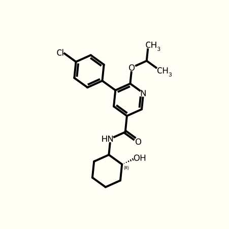 CC(C)Oc1ncc(C(=O)NC2CCCC[C@H]2O)cc1-c1ccc(Cl)cc1